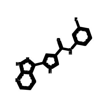 O=C(Nc1cccc(F)c1)c1c[nH]c(-c2n[nH]c3ncccc23)c1